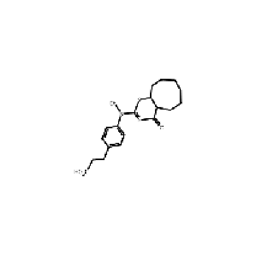 CCN(C1=NC(=O)C2CCCCCCC2S1)c1ccc(CCC(=O)O)cc1